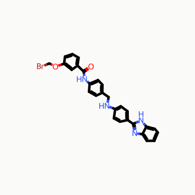 O=C(Nc1ccc(CNc2ccc(-c3nc4ccccc4[nH]3)cc2)cc1)c1cccc(OCBr)c1